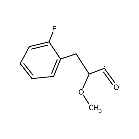 COC([C]=O)Cc1ccccc1F